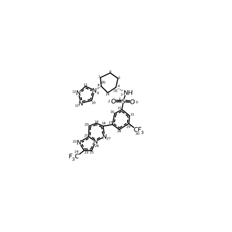 O=S(=O)(N[C@H]1CCC[C@@H](n2cnnc2)C1)c1cc(-c2ccc3nc(C(F)(F)F)cn3n2)cc(C(F)(F)F)c1